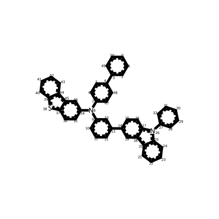 c1ccc(-c2ccc(N(c3cccc(-c4ccc5c(c4)c4ccccc4n5-c4ccccc4)c3)c3ccc4sc5ccccc5c4c3)cc2)cc1